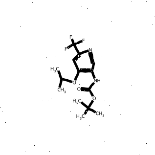 CC(C)Oc1cc(C(F)(F)F)ncc1NC(=O)OC(C)(C)C